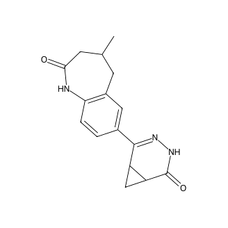 CC1CC(=O)Nc2ccc(C3=NNC(=O)C4CC34)cc2C1